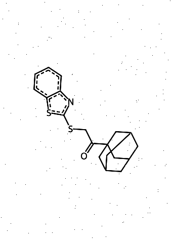 O=C(CSc1nc2ccccc2s1)C12CC3CC(CC(C3)C1)C2